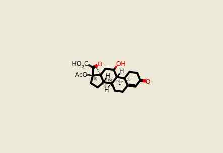 CC(=O)O[C@]1(C(=O)C(=O)O)CC[C@H]2[C@@H]3CCC4=CC(=O)CC[C@]4(C)[C@H]3C(O)C[C@@]21C